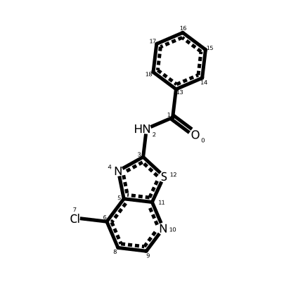 O=C(Nc1nc2c(Cl)ccnc2s1)c1ccccc1